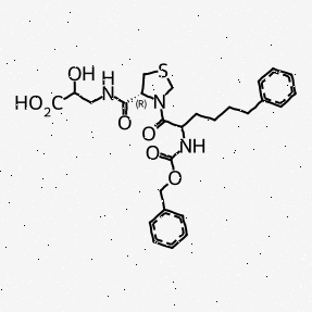 O=C(NC(CCCCc1ccccc1)C(=O)N1CSC[C@H]1C(=O)NCC(O)C(=O)O)OCc1ccccc1